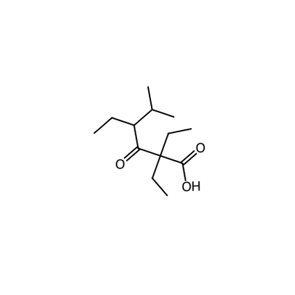 CCC(C(=O)C(CC)(CC)C(=O)O)C(C)C